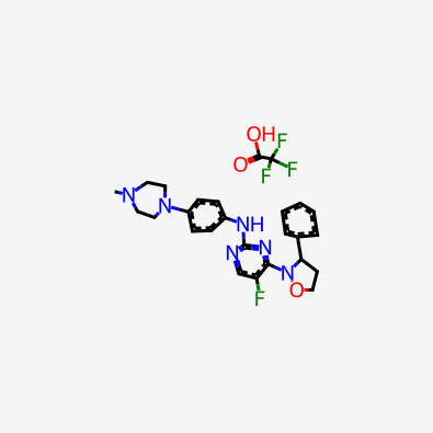 CN1CCN(c2ccc(Nc3ncc(F)c(N4OCCC4c4ccccc4)n3)cc2)CC1.O=C(O)C(F)(F)F